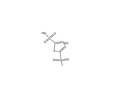 CS(=O)(=O)c1ccc(S(=O)(=O)O)s1.Cl